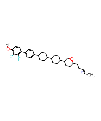 C/C=C/CCC1CCC(C2CCC(C3CCC(c4ccc(-c5ccc(OCC)c(F)c5F)cc4)CC3)CC2)CO1